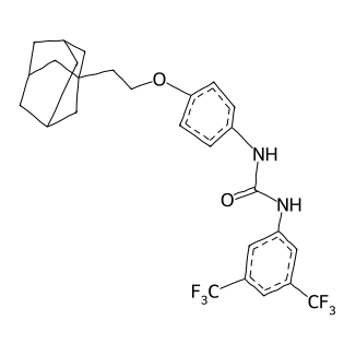 O=C(Nc1ccc(OCCC23CC4CC(CC(C4)C2)C3)cc1)Nc1cc(C(F)(F)F)cc(C(F)(F)F)c1